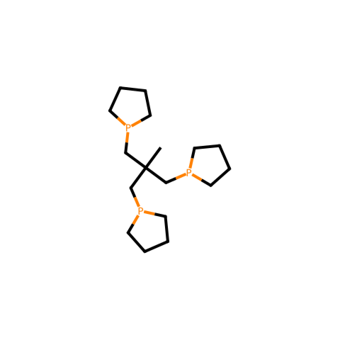 CC(CP1CCCC1)(CP1CCCC1)CP1CCCC1